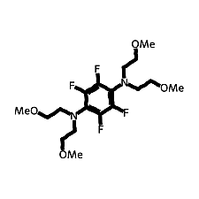 COCCN(CCOC)c1c(F)c(F)c(N(CCOC)CCOC)c(F)c1F